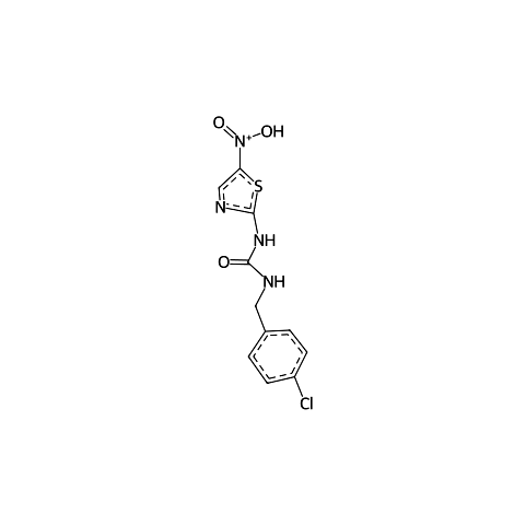 O=C(NCc1ccc(Cl)cc1)Nc1ncc([N+](=O)O)s1